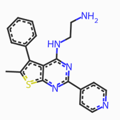 Cc1sc2nc(-c3ccncc3)nc(NCCN)c2c1-c1ccccc1